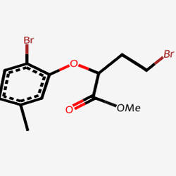 COC(=O)C(CCBr)Oc1cc(C)ccc1Br